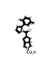 O=C(O)N1CC2CC(C(=O)N3C=CCC3c3cc(F)ccc3F)CC2C1